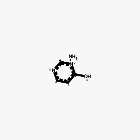 N.Oc1ccncn1